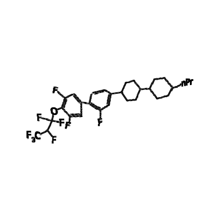 CCCC1CCC(C2CCC(c3ccc(-c4cc(F)c(OC(F)(F)C(F)C(F)(F)F)c(F)c4)c(F)c3)CC2)CC1